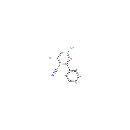 N#Cc1c(Br)cc(Cl)cc1-c1ccccc1